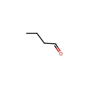 CCC[C]=O